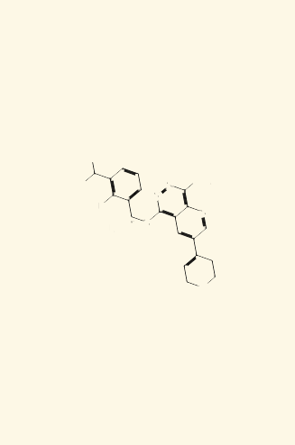 Cc1nnc(N[C@H](C)c2cccc(C(F)F)c2F)c2cc(C3=CCOCC3)cnc12